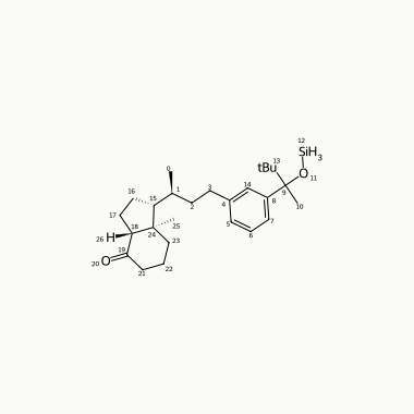 C[C@@H](CCc1cccc(C(C)(O[SiH3])C(C)(C)C)c1)[C@H]1CC[C@H]2C(=O)CCC[C@]12C